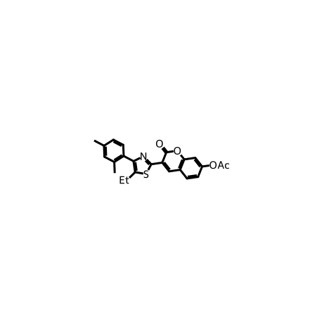 CCc1sc(-c2cc3ccc(OC(C)=O)cc3oc2=O)nc1-c1ccc(C)cc1C